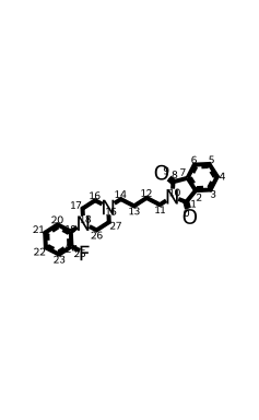 O=C1c2ccccc2C(=O)N1CCCCN1CCN(c2ccccc2F)CC1